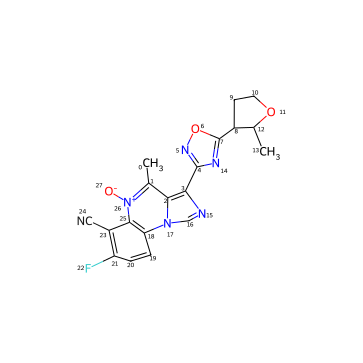 Cc1c2c(-c3noc(C4CCOC4C)n3)ncn2c2ccc(F)c(C#N)c2[n+]1[O-]